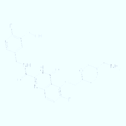 COc1cc(CNC(=O)c2nc3ccc(F)c(OCC4COC(CN)CO4)c3c(=O)[nH]2)ccc1F